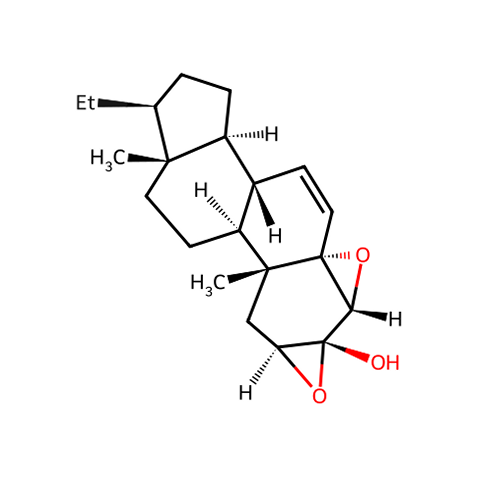 CC[C@H]1CC[C@H]2[C@@H]3C=C[C@@]45O[C@@H]4[C@]4(O)O[C@H]4C[C@]5(C)[C@H]3CC[C@]12C